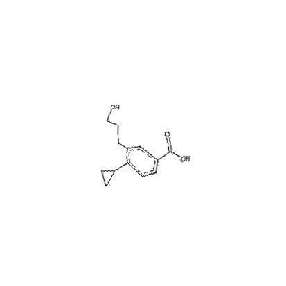 O=C(O)c1ccc(C2CC2)c(CCCO)c1